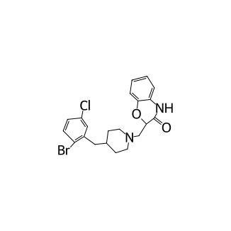 O=C1Nc2ccccc2OC1CN1CCC(Cc2cc(Cl)ccc2Br)CC1